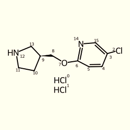 Cl.Cl.Clc1ccc(OC[C@H]2CCNC2)nc1